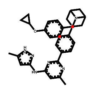 Cc1cc(Nc2cc(C)[nH]n2)nc(-c2ccc(N3CC4CC(C3)N4Cc3ccc(OC4CC4)cc3)nc2)n1